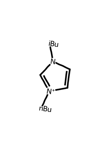 CCCC[n+]1ccn(C(C)CC)c1